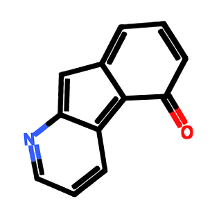 O=C1C=CC=C2C=c3ncccc3=C12